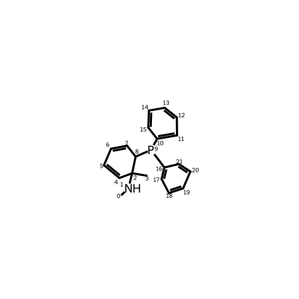 CNC1(C)C=CC=CC1P(c1ccccc1)c1ccccc1